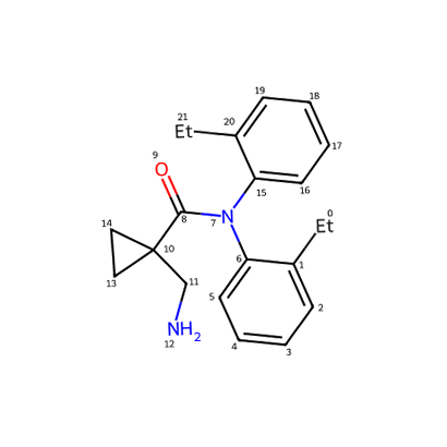 CCc1ccccc1N(C(=O)C1(CN)CC1)c1ccccc1CC